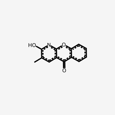 Cc1cc2c(=O)c3ccccc3oc2nc1O